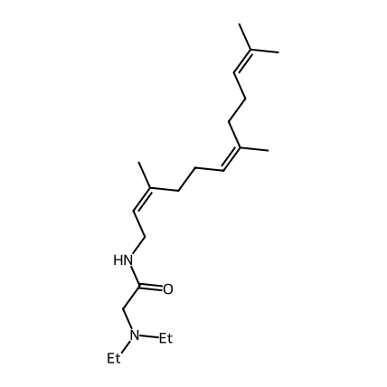 CCN(CC)CC(=O)NCC=C(C)CCC=C(C)CCC=C(C)C